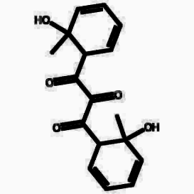 CC1(O)C=CC=CC1C(=O)C(=O)C(=O)C1C=CC=CC1(C)O